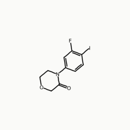 O=C1COCCN1c1ccc(I)c(F)c1